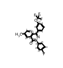 Cc1cnc2c(-c3cccc(OC(F)(F)F)c3)nn(-c3ccc(F)cc3)c(=O)c2c1